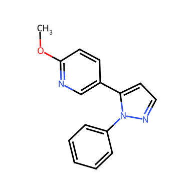 COc1ccc(-c2ccnn2-c2ccccc2)cn1